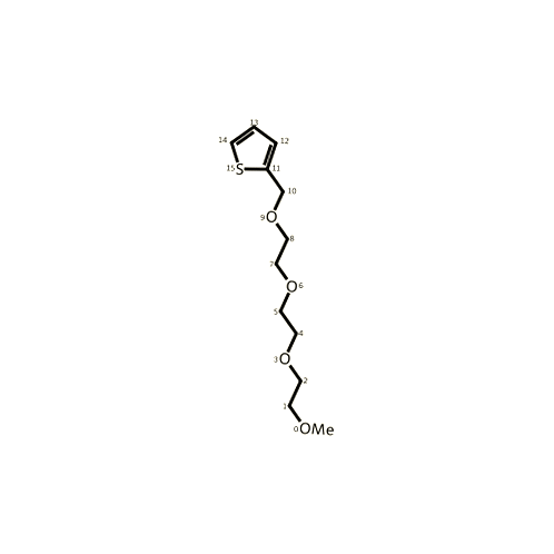 COCCOCCOCCOCc1cccs1